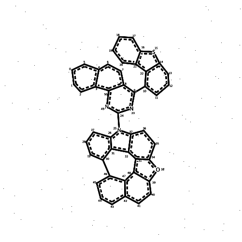 c1ccc2c(c1)ccc1c(-c3cccc4sc5ccccc5c34)nc(-n3c4cccc5c4c4c6c(ccc43)oc3ccc4cccc-5c4c36)nc12